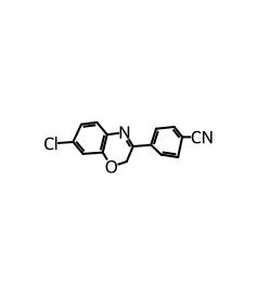 N#Cc1ccc(C2=Nc3ccc(Cl)cc3OC2)cc1